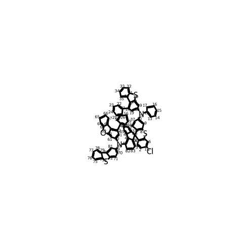 Clc1ccc2c(c1)Sc1cc(N(c3ccccc3)c3cc(-c4ccccc4)c4c(c3)sc3ccccc34)ccc1C21c2ccccc2-c2c(N(c3cc(-c4ccccc4)c4c(c3)oc3ccccc34)c3ccc4sc5ccccc5c4c3)cccc21